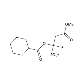 COC(=O)CC(F)(OC(=O)C1CCCCC1)S(=O)(=O)O